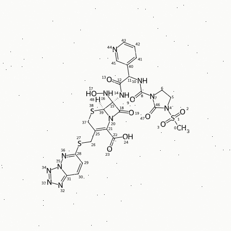 CS(=O)(=O)N1CCN(C(=O)NC(C(=O)N[C@]2(NO)C(=O)N3C(C(=O)O)=C(CSc4ccc5nnnn5n4)CS[C@H]32)c2cccnc2)C1=O